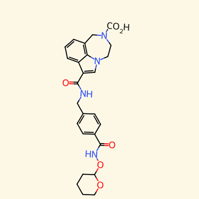 O=C(NOC1CCCCO1)c1ccc(CNC(=O)c2cn3c4c(cccc24)CN(C(=O)O)CC3)cc1